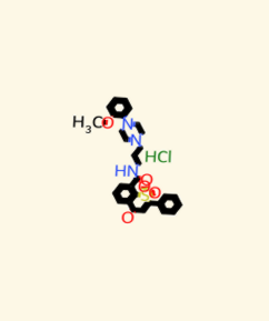 COc1ccccc1N1CCN(CCCNC(=O)c2cccc3c2S(=O)(=O)C(c2ccccc2)=CC3=O)CC1.Cl